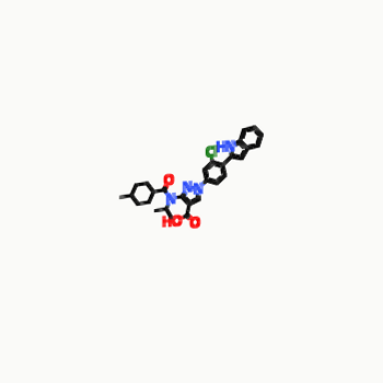 CC1CCC(C(=O)N(c2nn(-c3ccc(-c4cc5ccccc5[nH]4)c(Cl)c3)cc2C(=O)O)C(C)C)CC1